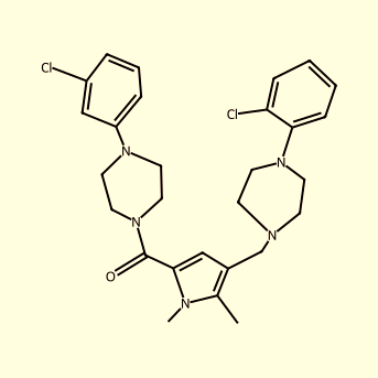 Cc1c(CN2CCN(c3ccccc3Cl)CC2)cc(C(=O)N2CCN(c3cccc(Cl)c3)CC2)n1C